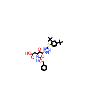 CC(C)(C)c1ccc(Sc2nnn(CC(=O)C(CC(=O)O)NC(=O)OCc3ccccc3)n2)c(C(C)(C)C)c1